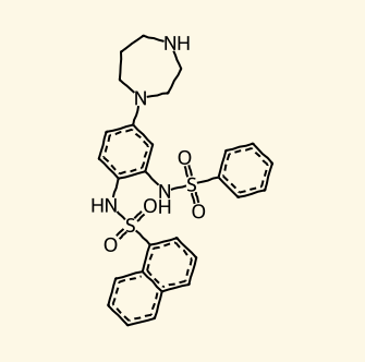 O=S(=O)(Nc1cc(N2CCCNCC2)ccc1NS(=O)(=O)c1cccc2ccccc12)c1ccccc1